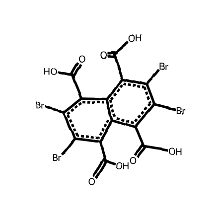 O=C(O)c1c(Br)c(Br)c(C(=O)O)c2c(C(=O)O)c(Br)c(Br)c(C(=O)O)c12